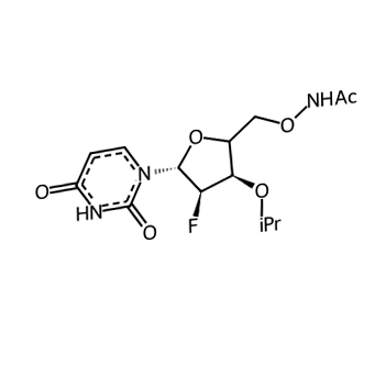 CC(=O)NOCC1O[C@@H](n2ccc(=O)[nH]c2=O)[C@H](F)[C@@H]1OC(C)C